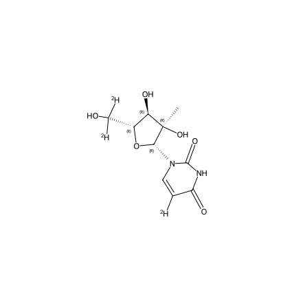 [2H]c1cn([C@@H]2O[C@H](C([2H])([2H])O)[C@@H](O)[C@@]2(C)O)c(=O)[nH]c1=O